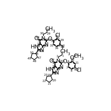 CCCn1c(Oc2ccc(Cl)cc2OC)nc2nc(C3CCCC3)[nH]c2c1=O.CCCn1c(Oc2ccc(F)cc2Cl)nc2nc(C3CCCC3)[nH]c2c1=O